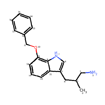 CC(CN)Cc1c[nH]c2c(OCc3ccccc3)cccc12